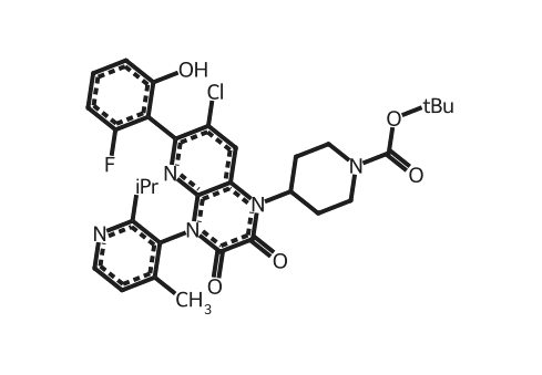 Cc1ccnc(C(C)C)c1-n1c(=O)c(=O)n(C2CCN(C(=O)OC(C)(C)C)CC2)c2cc(Cl)c(-c3c(O)cccc3F)nc21